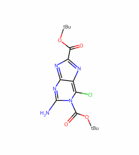 CC(C)(C)OC(=O)c1nc2nc(N)n(C(=O)OC(C)(C)C)c(Cl)c-2n1